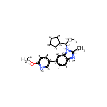 COc1ccc(-c2ccc3nc(C)n(C(C)C4CCCC4)c3c2)cn1